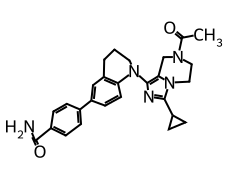 CC(=O)N1CCn2c(C3CC3)nc(N3CCCc4cc(-c5ccc(C(N)=O)cc5)ccc43)c2C1